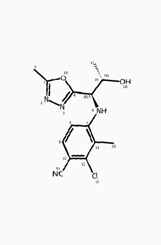 Cc1nnc([C@H](Nc2ccc(C#N)c(Cl)c2C)[C@H](C)O)o1